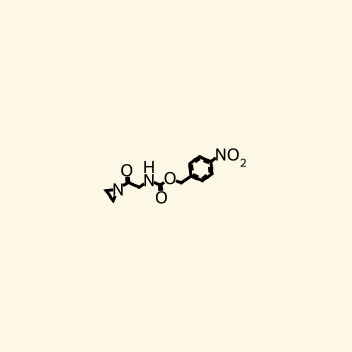 O=C(NCC(=O)N1CC1)OCc1ccc([N+](=O)[O-])cc1